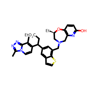 CCOC(=O)CC(c1cc(CN2Cc3nc(O)ccc3O[C@H](CC)C2)c2sccc2c1)c1ccn2c(C)nnc2c1C